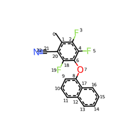 Cc1c(F)c(F)c(Oc2cccc3ccccc23)c(F)c1C#N